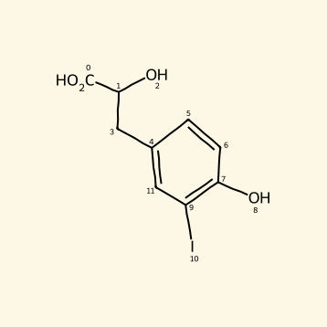 O=C(O)C(O)Cc1ccc(O)c(I)c1